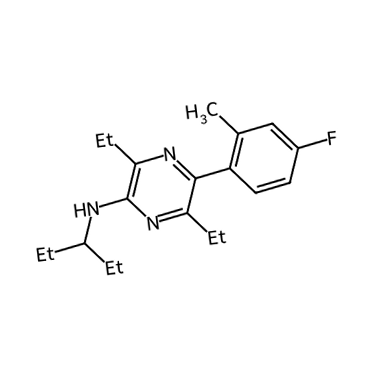 CCc1nc(-c2ccc(F)cc2C)c(CC)nc1NC(CC)CC